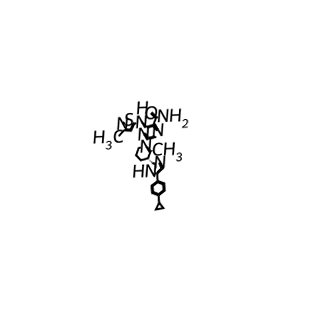 Cc1cc(Nc2nc(N3CCC[C@@H](c4ncc(-c5ccc(C6CC6)cc5)[nH]4)[C@H]3C)cnc2C(N)=O)sn1